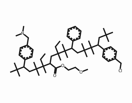 CCC(C)(CC(C(=O)OCCOC)C(C)(CC)C(C)(C)CC(c1ccc(CN(C)C)cc1)C(C)(C)C)C(C)(C)C(CC(C)(C)C(C)(C)C(CC(C)(C)C)c1ccc(CCl)cc1)c1ccccc1